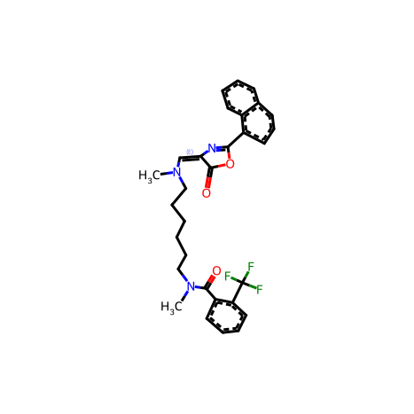 CN(/C=C1/N=C(c2cccc3ccccc23)OC1=O)CCCCCCN(C)C(=O)c1ccccc1C(F)(F)F